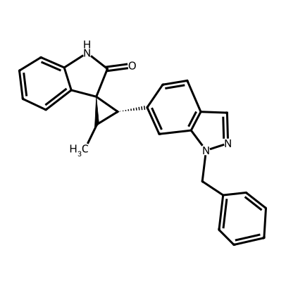 CC1[C@@H](c2ccc3cnn(Cc4ccccc4)c3c2)[C@]12C(=O)Nc1ccccc12